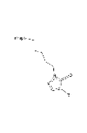 CCCCCCCCCCCCn1scc(Br)c1=O